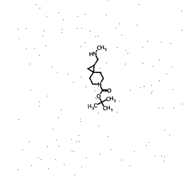 CNCC1CC12CCN(C(=O)OC(C)(C)C)CC2